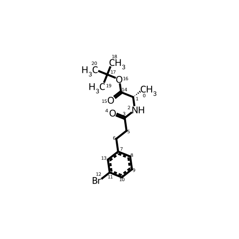 C[C@H](NC(=O)CCc1cccc(Br)c1)C(=O)OC(C)(C)C